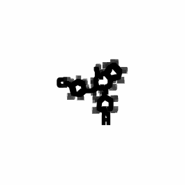 CN1CC(Cc2ccc(Cl)cc2)N(C2CCNCC2)Cc2ccccc21